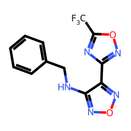 FC(F)(F)c1nc(-c2nonc2NCc2ccccc2)no1